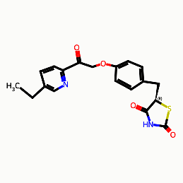 CCc1ccc(C(=O)COc2ccc(C[C@H]3SC(=O)NC3=O)cc2)nc1